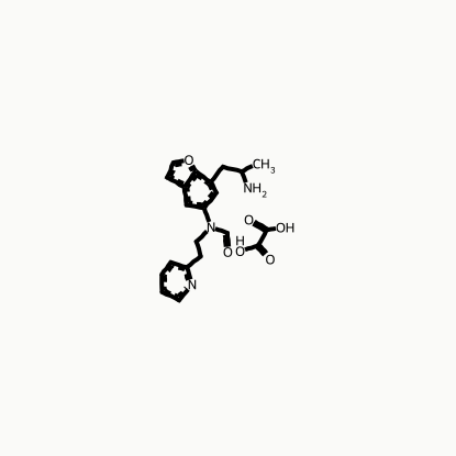 CC(N)Cc1cc(N(C=O)CCc2ccccn2)cc2ccoc12.O=C(O)C(=O)O